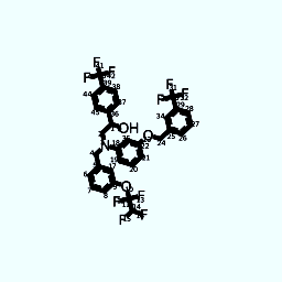 OC(CN(Cc1cccc(OC(F)(F)C(F)F)c1)c1cccc(OCc2cccc(C(F)(F)F)c2)c1)c1ccc(C(F)(F)F)cc1